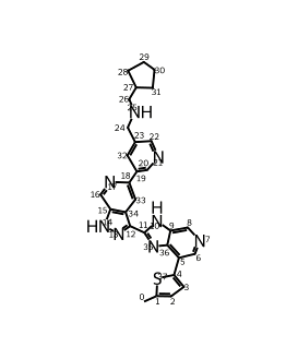 Cc1ccc(-c2cncc3[nH]c(-c4n[nH]c5cnc(-c6cncc(CNCC7CCCC7)c6)cc45)nc23)s1